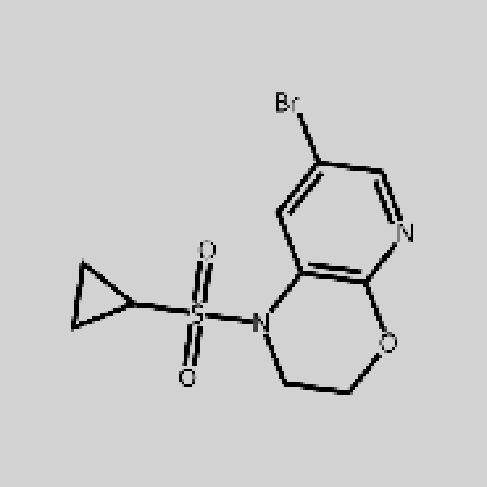 O=S(=O)(C1CC1)N1CCOc2ncc(Br)cc21